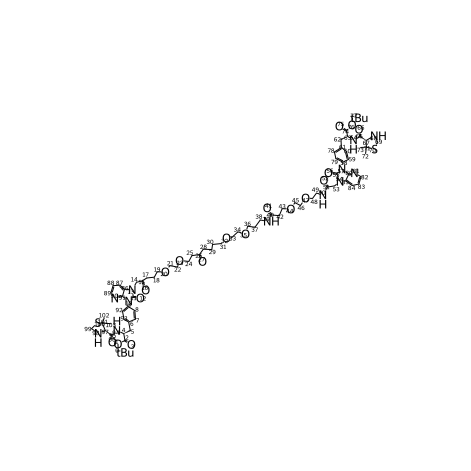 CC(C)(C)OC(=O)[C@H](Cc1ccc(-n2c(=O)n(CC(=O)CCCOCCOCCC(=O)CCCCOCCOCCCNC(=O)CCOCCOCCNC(=O)Cn3c(=O)n(-c4ccc(C[C@H](NC(=O)[C@H]5NCSC5(C)C)C(=O)OC(C)(C)C)cc4)c4ncccc43)c3cccnc32)cc1)NC(=O)[C@H]1NCSC1(C)C